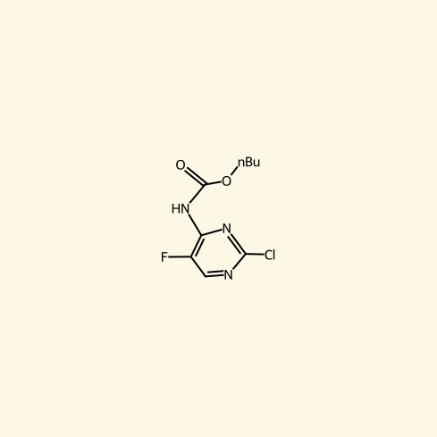 CCCCOC(=O)Nc1nc(Cl)ncc1F